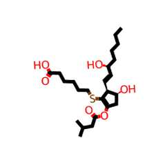 CCCCC[C@H](O)/C=C/[C@@H]1C(SCCCCCC(=O)O)=C(OC(=O)CC(C)C)C[C@H]1O